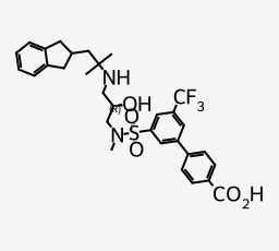 CN(C[C@H](O)CNC(C)(C)CC1Cc2ccccc2C1)S(=O)(=O)c1cc(-c2ccc(C(=O)O)cc2)cc(C(F)(F)F)c1